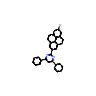 Brc1cc2ccc3cc(-c4nc(-c5ccccc5)cc(-c5ccccc5)n4)cc4ccc(c1)c2c34